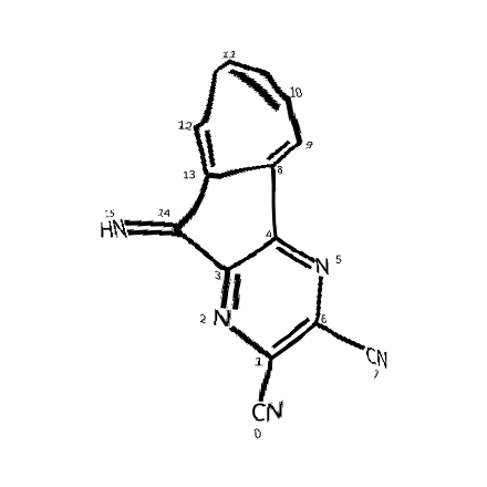 N#Cc1nc2c(nc1C#N)-c1ccccc1C2=N